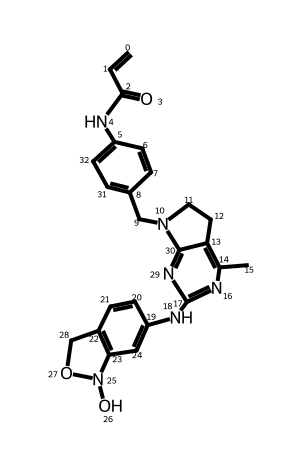 C=CC(=O)Nc1ccc(CN2CCc3c(C)nc(Nc4ccc5c(c4)N(O)OC5)nc32)cc1